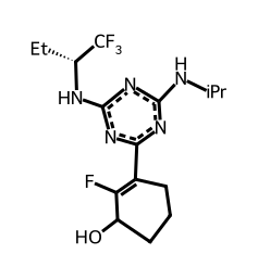 CC[C@@H](Nc1nc(NC(C)C)nc(C2=C(F)C(O)CCC2)n1)C(F)(F)F